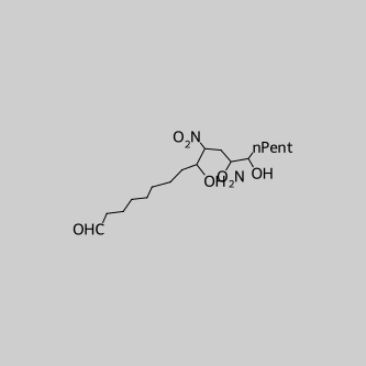 CCCCCC(O)C(CC(C(O)CCCCCCCC=O)[N+](=O)[O-])[N+](=O)[O-]